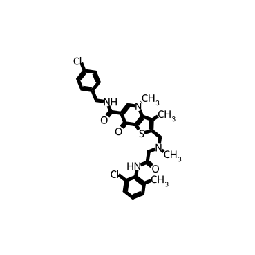 Cc1cccc(Cl)c1NC(=O)CN(C)Cc1sc2c(=O)c(C(=O)NCc3ccc(Cl)cc3)cn(C)c2c1C